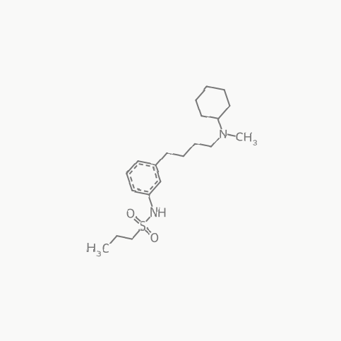 CCCS(=O)(=O)Nc1cccc(CCCCN(C)C2CCCCC2)c1